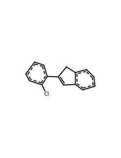 Clc1ccccc1C1=Cc2ccccc2[CH]1